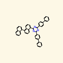 c1ccc(-c2ccc(-c3nc(-c4ccc(-c5ccccc5)cc4)nc(-c4cccc5c(-c6cccc7ccccc67)cccc45)n3)cc2)cc1